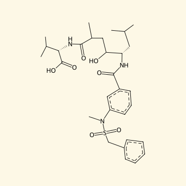 CC(C)C[C@H](NC(=O)c1cccc(N(C)S(=O)(=O)Cc2ccccc2)c1)C(O)CC(C)C(=O)N[C@H](C(=O)O)C(C)C